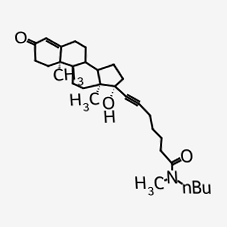 CCCCN(C)C(=O)CCCCC#C[C@]1(O)CCC2C3CCC4=CC(=O)CC[C@]4(C)C3CC[C@@]21C